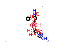 CC(=O)N[C@@H]1C=C/C(=C/OP(=O)(O)OC[C@H]2O[C@@H](n3ccc(N)nc3=O)C(O)[C@H]2O)OC1Oc1ccccc1